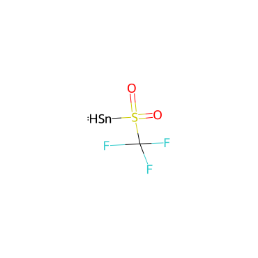 O=[S](=O)([SnH])C(F)(F)F